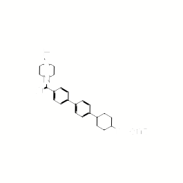 CCCCCC1CCC(c2ccc(-c3ccc(C(=O)N4CCNCC4)cc3)cc2)CC1